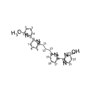 Cc1cccc(-c2cccc(CCCc3cccc(-c4nccc(O)n4)n3)n2)n1